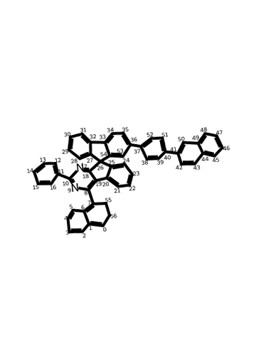 C1=c2ccccc2=C(c2nc(-c3ccccc3)nc3c2-c2ccccc2C32c3ccccc3-c3ccc(-c4ccc(-c5ccc6ccccc6c5)cc4)cc32)CC1